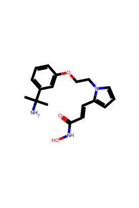 CC(C)(N)c1cccc(OCCn2cccc2/C=C/C(=O)NO)c1